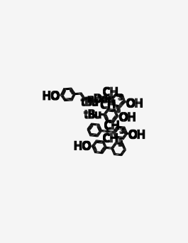 CC(C)(C)CC(C)(C)c1ccc(O)cc1.CC(C)(C)c1ccc(O)cc1.CC(C)(c1ccccc1)c1ccc(O)cc1.CCCCCCCCCCCCc1ccc(O)cc1.Oc1ccc(C2CCCCC2)cc1